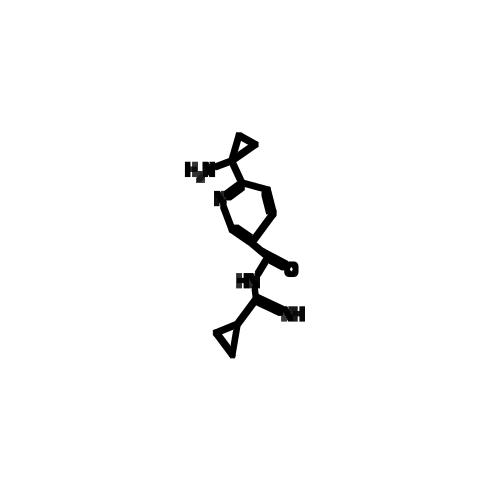 N=C(NC(=O)c1ccc(C2(N)CC2)nc1)C1CC1